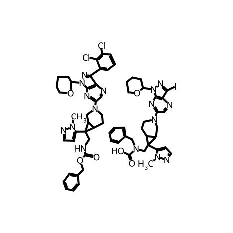 Cn1nccc1C1(CN(Cc2ccccc2)C(=O)O)C2CCN(c3cnc4c(I)nn(C5CCCCO5)c4n3)CC21.Cn1nccc1C1(CNC(=O)OCc2ccccc2)C2CCN(c3cnc4c(-c5cccc(Cl)c5Cl)nn(C5CCCCO5)c4n3)CC21